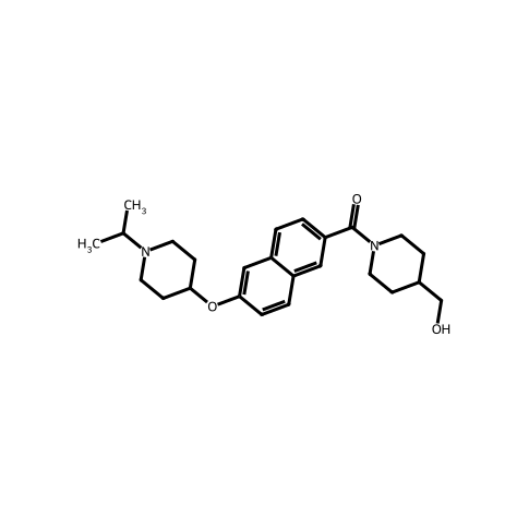 CC(C)N1CCC(Oc2ccc3cc(C(=O)N4CCC(CO)CC4)ccc3c2)CC1